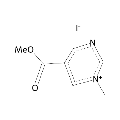 COC(=O)c1cnc[n+](C)c1.[I-]